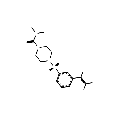 CN(C)C(=O)N1CCN(S(=O)(=O)c2cccc(C(Cl)=C(Cl)Cl)c2)CC1